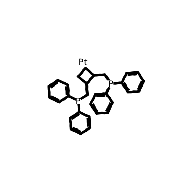 [Pt].c1ccc(P(CC2CCC2CP(c2ccccc2)c2ccccc2)c2ccccc2)cc1